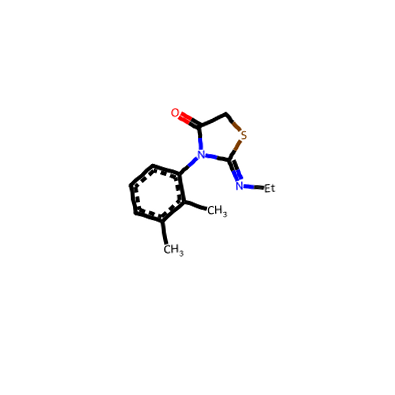 CC/N=C1\SCC(=O)N1c1cccc(C)c1C